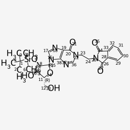 CC(C)(C)[Si](C)(C)O[C@@H]1[C@H](O)[C@@H](CO)O[C@H]1n1cnc2c(=O)n(CCN3C(=O)c4ccccc4C3=O)cnc21